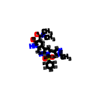 CN(C)C(=O)c1cc2c(cnc3c2cc(-c2cnn(C)c2)n3S(=O)(=O)c2ccccc2)[nH]c1=O